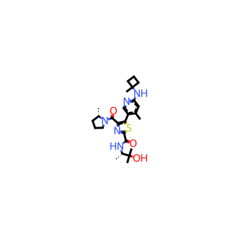 Cc1cc(NC2(C)CCC2)ncc1-c1sc(C(=O)N[C@@H](C)C(C)(C)O)nc1C(=O)N1CCC[C@@H]1C